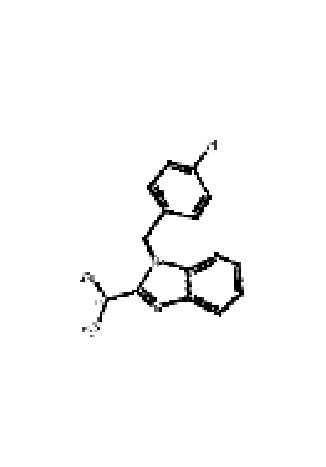 CCC(C)[C@H](N)c1nc2ccccc2n1Cc1ccc(Cl)cc1